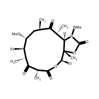 CC[C@H]1[C@H](OC)C[C@@H](C)C(=O)[C@H](C)[C@H]2N(NC)C(=O)O[C@]2(C)[C@@H](CC)OC(=O)[C@H](C)C(=O)[C@@H]1C